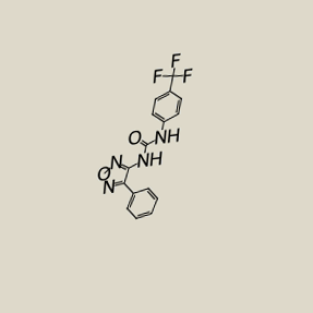 O=C(Nc1ccc(C(F)(F)F)cc1)Nc1nonc1-c1ccccc1